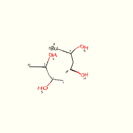 CC(O)C(C)O.CCCCC(O)CO